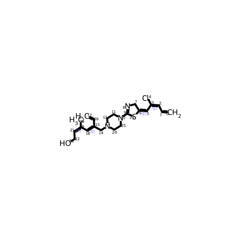 C=C/C=C(Cl)\C=C1/CN=C(N2CCN(C/C(C=C)=C/C(C)=C\CO)CC2)S1